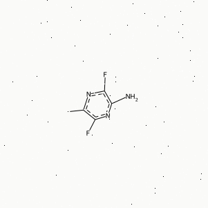 Cc1nc(F)c(N)nc1F